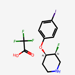 F[C@H]1CNCC[C@H]1Oc1ccc(I)cc1.O=C(O)C(F)(F)F